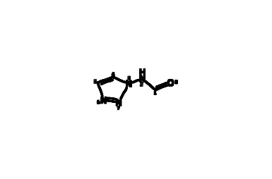 O=CNn1ccnn1